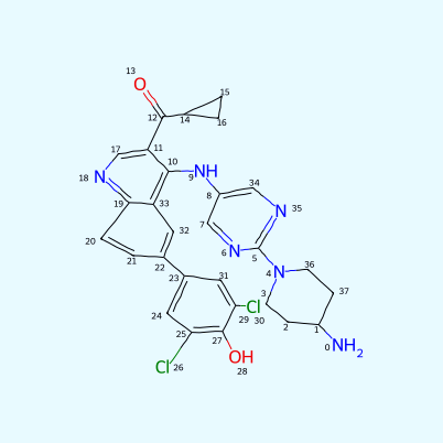 NC1CCN(c2ncc(Nc3c(C(=O)C4CC4)cnc4ccc(-c5cc(Cl)c(O)c(Cl)c5)cc34)cn2)CC1